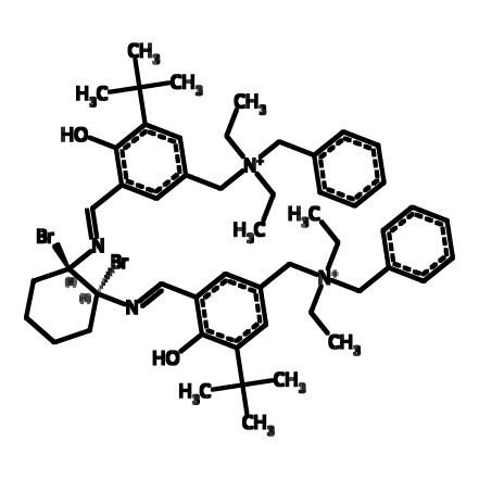 CC[N+](CC)(Cc1ccccc1)Cc1cc(C=N[C@@]2(Br)CCCC[C@]2(Br)N=Cc2cc(C[N+](CC)(CC)Cc3ccccc3)cc(C(C)(C)C)c2O)c(O)c(C(C)(C)C)c1